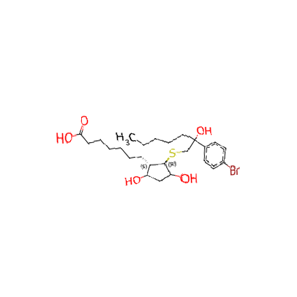 CCCCCC(O)(CS[C@H]1C(O)CC(O)[C@@H]1CCCCCCC(=O)O)c1ccc(Br)cc1